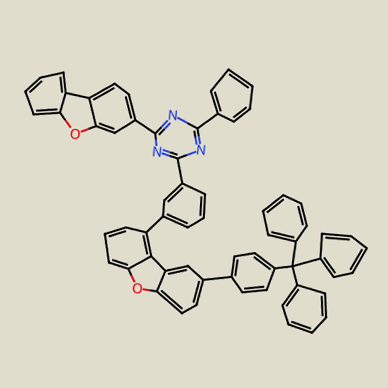 c1ccc(-c2nc(-c3cccc(-c4cccc5oc6ccc(-c7ccc(C(c8ccccc8)(c8ccccc8)c8ccccc8)cc7)cc6c45)c3)nc(-c3ccc4c(c3)oc3ccccc34)n2)cc1